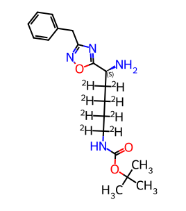 [2H]C([2H])(NC(=O)OC(C)(C)C)C([2H])([2H])C([2H])([2H])C([2H])([2H])[C@H](N)c1nc(Cc2ccccc2)no1